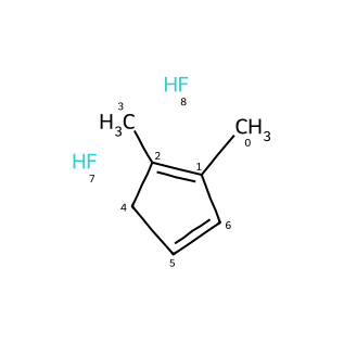 CC1=C(C)CC=C1.F.F